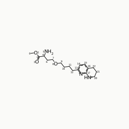 COC(=O)C(N)CCOCCCCc1ccc2c(n1)NCCC2